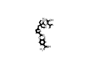 CCC(CC)(Cc1ccc(C(=O)Oc2ccc(C(=N)N)cc2F)s1)C(O)N[C@H](C(=O)O)C(C)C